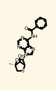 C[C@@]12CSC(C1O)[C@H](n1cnc3c(NC(=O)c4ccccc4)ncnc31)O2